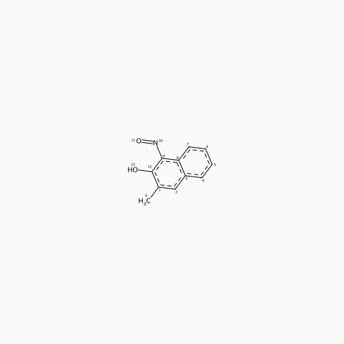 Cc1cc2ccccc2c(N=O)c1O